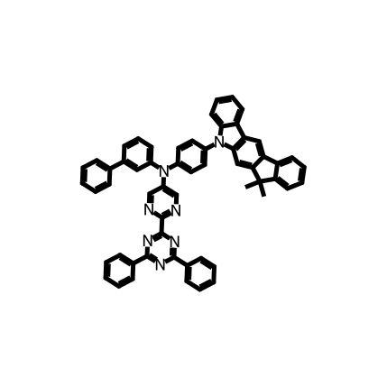 CC1(C)c2ccccc2-c2cc3c4ccccc4n(-c4ccc(N(c5cnc(-c6nc(-c7ccccc7)nc(-c7ccccc7)n6)nc5)c5cccc(-c6ccccc6)c5)cc4)c3cc21